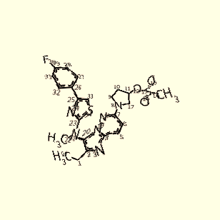 CCc1nc2ccc(N3CCC(OS(C)(=O)=O)C3)nn2c1N(C)c1nc(-c2ccc(F)cc2)cs1